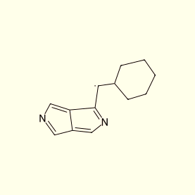 [CH](C1=NC=C2C=NC=C21)C1CCCCC1